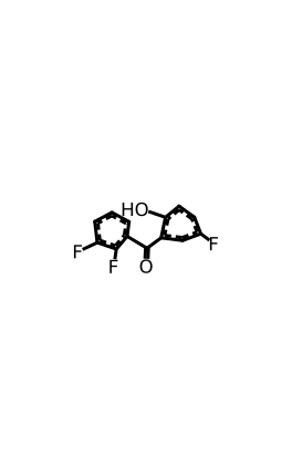 O=C(c1cc(F)ccc1O)c1cccc(F)c1F